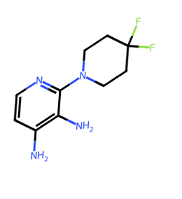 Nc1ccnc(N2CCC(F)(F)CC2)c1N